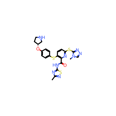 Cc1nsc(NC(=O)c2nc(Sc3nncn3C)ccc2Sc2ccc(O[C@@H]3CCNC3)cc2)n1